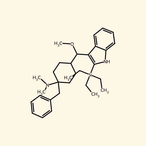 CC[Si](CC)(CC)c1[nH]c2ccccc2c1C(OC)C1CCC(Cc2ccccc2)(N(C)C)CC1